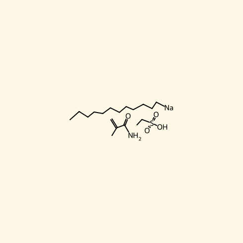 C=C(C)C(N)=O.CCCCCCCCCCC[CH2][Na].CCS(=O)(=O)O